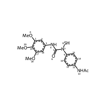 COc1cc(NC(=O)N(S)c2ccc(NC(C)=O)cc2)cc(OC)c1OC